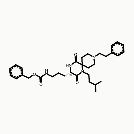 CC(C)CCN1C(=O)[C@H](CCCNC(=O)OCc2ccccc2)NC(=O)C12CCN(CCc1ccccc1)CC2